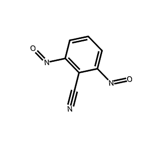 N#Cc1c(N=O)cccc1N=O